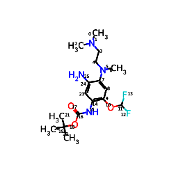 CN(C)CCN(C)c1cc(OC(F)F)c(NC(=O)OC(C)(C)C)cc1N